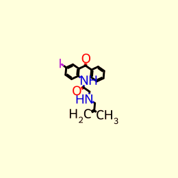 C=C(C)CNCC(=O)Nc1ccc(I)cc1C(=O)c1ccccc1